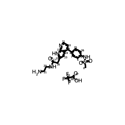 CS(=O)(=O)Nc1ccc(-c2ccnc3[nH]c(CC(=O)NCCN)cc23)cc1.O=C(O)C(F)(F)F